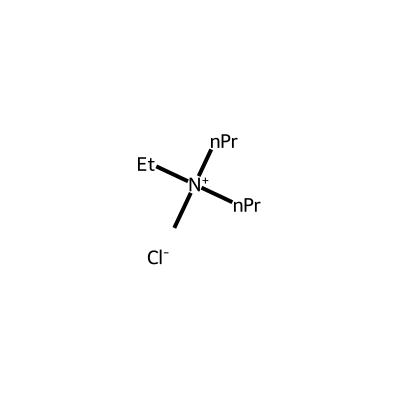 CCC[N+](C)(CC)CCC.[Cl-]